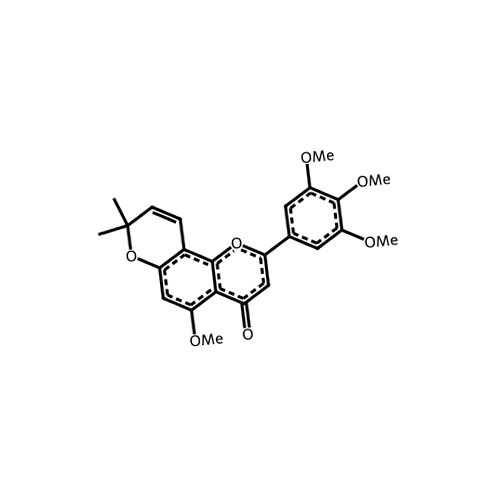 COc1cc(-c2cc(=O)c3c(OC)cc4c(c3o2)C=CC(C)(C)O4)cc(OC)c1OC